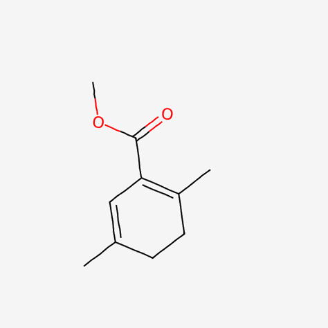 COC(=O)C1=C(C)CCC(C)=C1